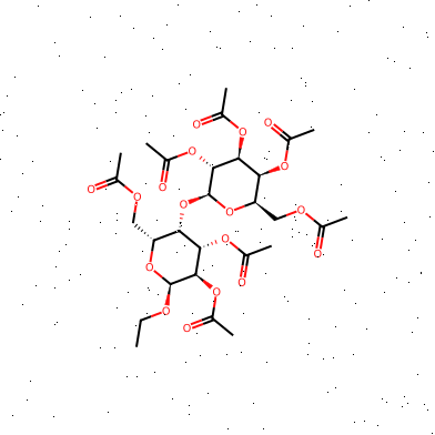 CCO[C@H]1O[C@H](COC(C)=O)[C@H](O[C@@H]2O[C@H](COC(C)=O)[C@H](OC(C)=O)[C@H](OC(C)=O)[C@H]2OC(C)=O)[C@H](OC(C)=O)[C@H]1OC(C)=O